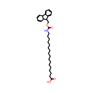 O=C(O)CCCCCCCCCCCCCCCCNC(=O)OCC1c2ccccc2C2C=CC=CC21